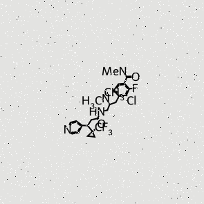 CNC(=O)c1ccc(CC(CNC(=O)CC(c2ccncc2)C2(C(F)(F)F)CC2)N(C)C)c(Cl)c1F